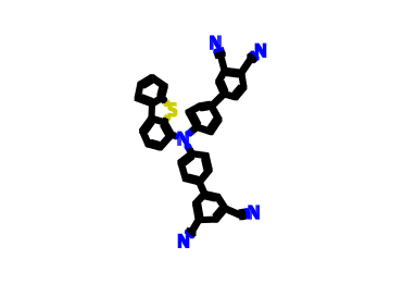 N#Cc1cc(C#N)cc(-c2ccc(N(c3ccc(-c4ccc(C#N)c(C#N)c4)cc3)c3cccc4c3sc3ccccc34)cc2)c1